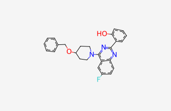 Oc1ccccc1-c1nc(N2CCC(OCc3ccccc3)CC2)c2cc(F)ccc2n1